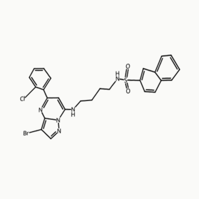 O=S(=O)(NCCCCNc1cc(-c2ccccc2Cl)nc2c(Br)cnn12)c1ccc2ccccc2c1